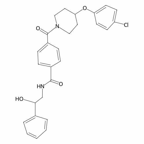 O=C(NCC(O)c1ccccc1)c1ccc(C(=O)N2CCC(Oc3ccc(Cl)cc3)CC2)cc1